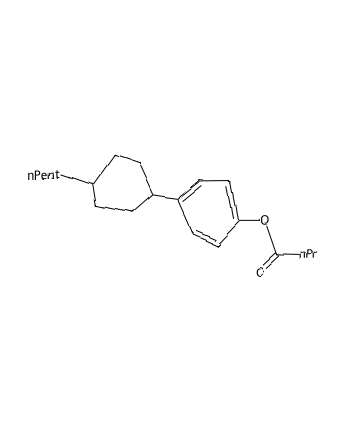 CCCCCC1CCC(c2ccc(OC(=O)CCC)cc2)CC1